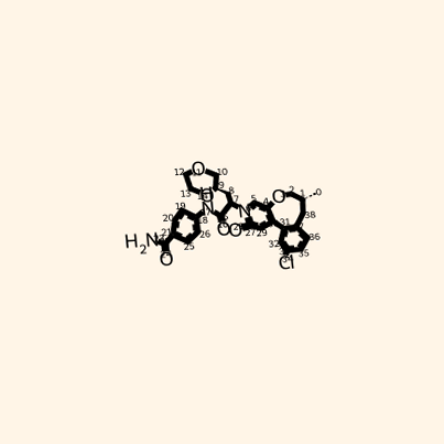 C[C@H]1COc2cn(C(C[C@@H]3COCCO3)C(=O)Nc3ccc(C(N)=O)cc3)c(=O)cc2-c2cc(Cl)ccc2C1